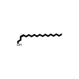 OCC/C=C\CCCCCCCCCCCCCI